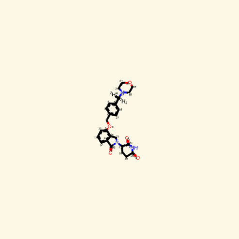 [2H]C([2H])(c1ccc(COc2cccc3c2CN(C2CCC(=O)NC2=O)C3=O)cc1)N1CCOCC1